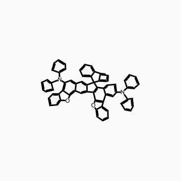 c1ccc(N(c2ccccc2)c2ccc3c4c(c5oc6ccccc6c5c3c2)-c2cc3c(cc2C42c4ccccc4-c4ccccc42)cc(N(c2ccccc2)c2ccccc2)c2c4ccccc4oc32)cc1